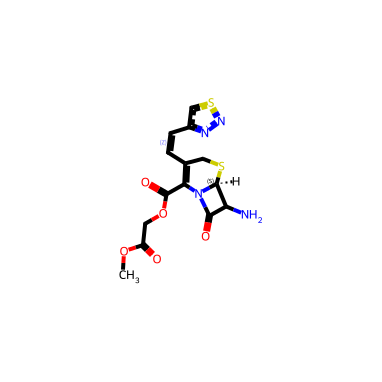 COC(=O)COC(=O)C1=C(/C=C\c2csnn2)CS[C@H]2C(N)C(=O)N12